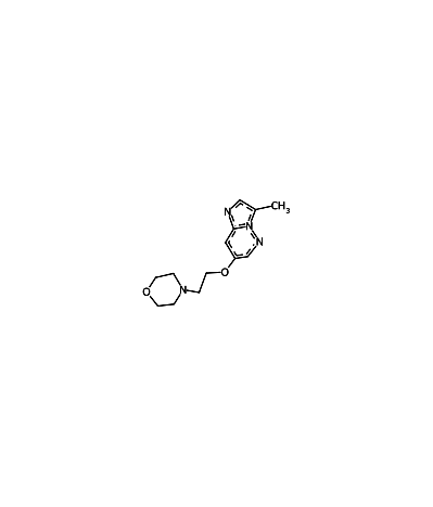 Cc1cnc2cc(OCCN3CCOCC3)cnn12